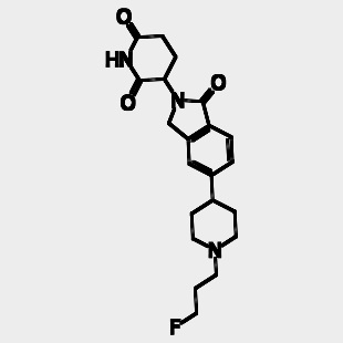 O=C1CCC(N2Cc3cc(C4CCN(CCCF)CC4)ccc3C2=O)C(=O)N1